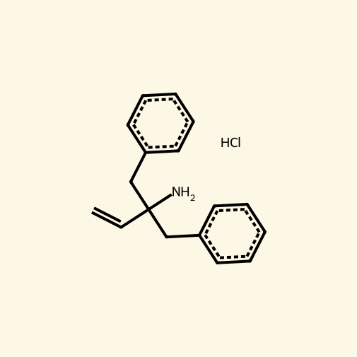 C=CC(N)(Cc1ccccc1)Cc1ccccc1.Cl